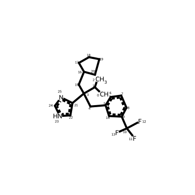 CC(C)C(Cc1cccc(C(F)(F)F)c1)(CC1CCCC1)c1c[nH]cn1